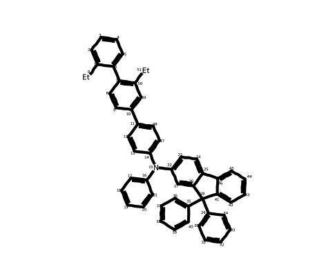 CCc1ccccc1-c1ccc(-c2ccc(N(c3ccccc3)c3ccc4c(c3)C(c3ccccc3)(c3ccccc3)c3ccccc3-4)cc2)cc1CC